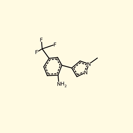 Cn1cc(-c2cc(C(F)(F)F)ccc2N)cn1